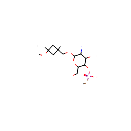 COC1(C)CC(C)(COC2OC(CO)C(OP(=O)(O)SC)C(O)C2N)C1